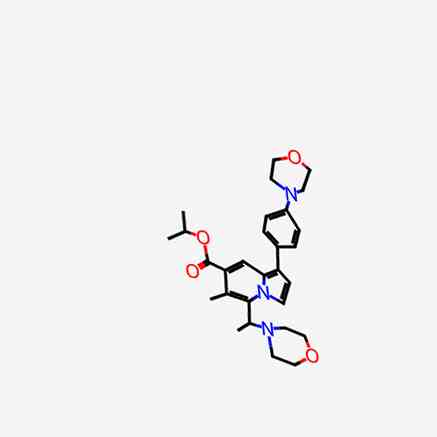 Cc1c(C(=O)OC(C)C)cc2c(-c3ccc(N4CCOCC4)cc3)ccn2c1C(C)N1CCOCC1